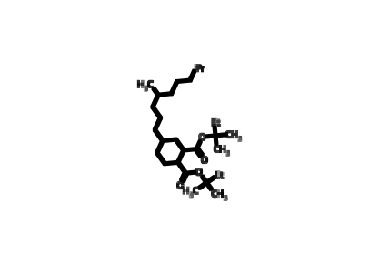 CCC(C)(C)OC(=O)C1CCC(CCCC(C)CCCC(C)C)CC1C(=O)OC(C)(C)CC